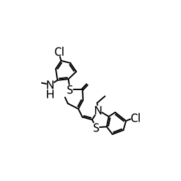 C=C(C=C(C=C1Sc2ccc(Cl)cc2N1CC)CC)Sc1ccc(Cl)cc1NC